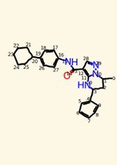 CC1CC(c2ccccc2)Nc2c(C(=O)Nc3ccc(C4CCCCC4)cc3)cnn21